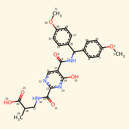 COc1ccc(C(NC(=O)c2cnc(C(=O)NCC(C)C(=O)O)nc2O)c2ccc(OC)cc2)cc1